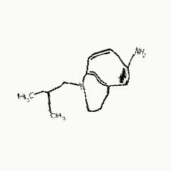 CC(C)CN1CCc2cc(N)ccc21